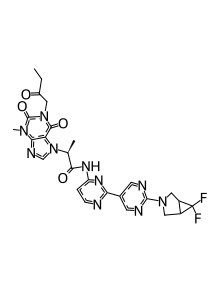 CCC(=O)Cn1c(=O)c2c(ncn2[C@@H](C)C(=O)Nc2ccnc(-c3cnc(N4CC5C(C4)C5(F)F)nc3)n2)n(C)c1=O